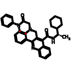 C[C@H](NC(=O)c1c(CN2CCN(c3ccccc3)C(=O)C2)c(-c2ccccc2)nc2ccccc12)C1CCCCC1